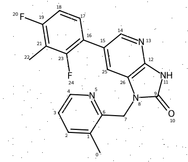 Cc1cccnc1Cn1c(=O)[nH]c2ncc(-c3ccc(F)c(C)c3F)cc21